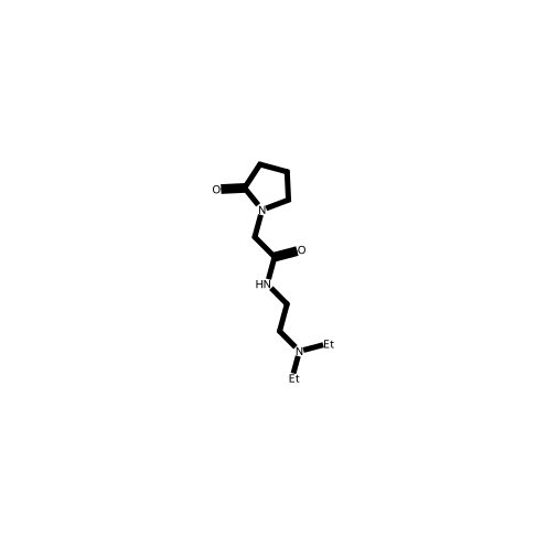 CCN(CC)CCNC(=O)CN1CCCC1=O